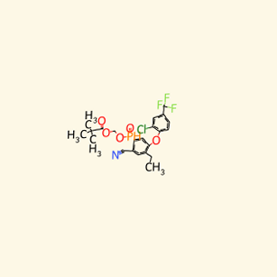 CCc1cc(C#N)c([PH](=O)OCOC(=O)C(C)(C)C)cc1Oc1ccc(C(F)(F)F)cc1Cl